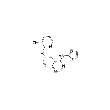 Clc1cccnc1Oc1ccc2ncnc(Nc3nccs3)c2c1